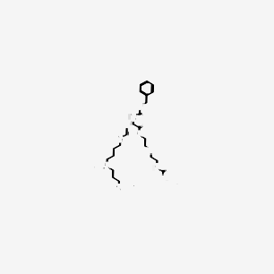 CC(=O)NCCCN(CCCCNCC[C@H](NC(=O)OCc1ccccc1)C(=O)NCCOCCNC(=O)OC(C)(C)C)C(C)=O